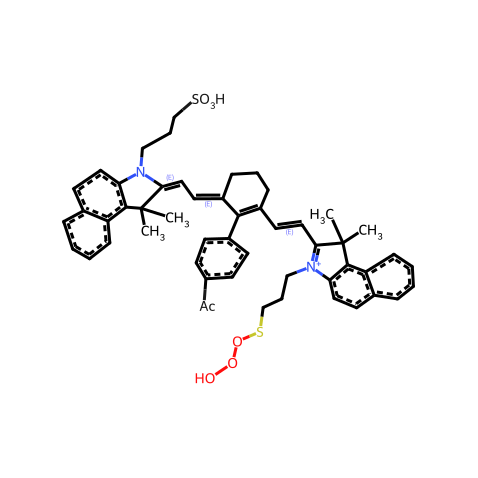 CC(=O)c1ccc(C2=C(/C=C/C3=[N+](CCCSOOO)c4ccc5ccccc5c4C3(C)C)CCC/C2=C\C=C2\N(CCCS(=O)(=O)O)c3ccc4ccccc4c3C2(C)C)cc1